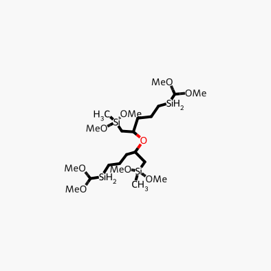 COC(OC)[SiH2]CCCC(C[Si](C)(OC)OC)OC(CCC[SiH2]C(OC)OC)C[Si](C)(OC)OC